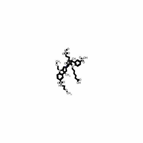 COCCNS(=O)(=O)c1ccc2c(c1)C(C)(CCCS(=O)(=O)O)/C(=C\C=C\C1=[N+](CCCCCC(=O)O)c3ccc(S(=O)(=O)O)cc3C1(C)CCCS(=O)(=O)N=O)N2CCOC